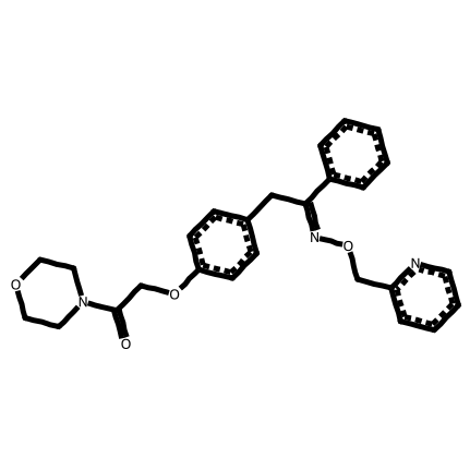 O=C(COc1ccc(CC(=NOCc2ccccn2)c2ccccc2)cc1)N1CCOCC1